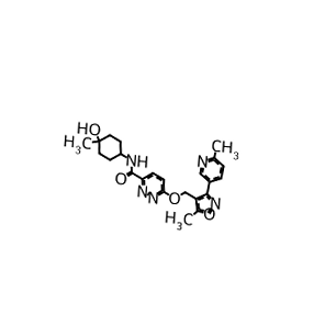 Cc1ccc(-c2noc(C)c2COc2ccc(C(=O)NC3CCC(C)(O)CC3)nn2)cn1